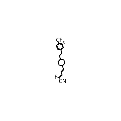 N#CC(F)=CC=CC1CCC(CCc2ccc(C(F)(F)F)cc2)CC1